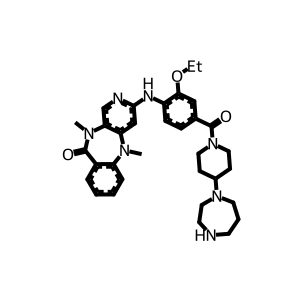 CCOc1cc(C(=O)N2CCC(N3CCCNCC3)CC2)ccc1Nc1cc2c(cn1)N(C)C(=O)c1ccccc1N2C